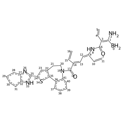 B/C(N)=C(/C=C)C(=O)N/C(C=C)=C/C=C(\C=C)C(=O)N1CCc2cc(-c3nc4ccccc4[nH]3)sc2-c2ccccc21